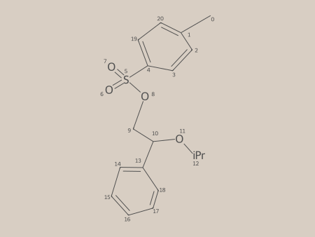 Cc1ccc(S(=O)(=O)OCC(OC(C)C)c2ccccc2)cc1